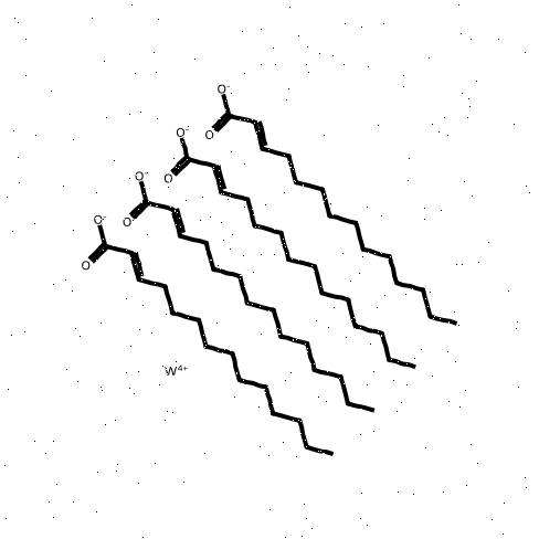 CCCCCCCCCCCC=CC(=O)[O-].CCCCCCCCCCCC=CC(=O)[O-].CCCCCCCCCCCC=CC(=O)[O-].CCCCCCCCCCCC=CC(=O)[O-].[W+4]